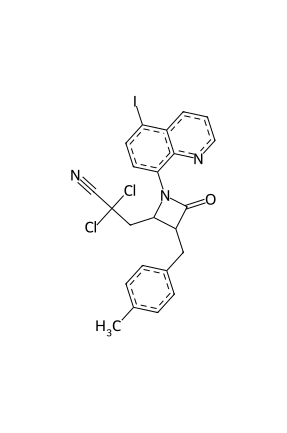 Cc1ccc(CC2C(=O)N(c3ccc(I)c4cccnc34)C2CC(Cl)(Cl)C#N)cc1